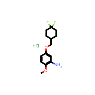 COc1ccc(OCC2CCC(F)(F)CC2)cc1N.Cl